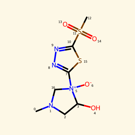 CN1CC(O)[N+]([O-])(c2nnc(S(C)(=O)=O)s2)C1